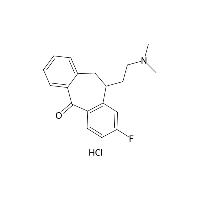 CN(C)CCC1Cc2ccccc2C(=O)c2ccc(F)cc21.Cl